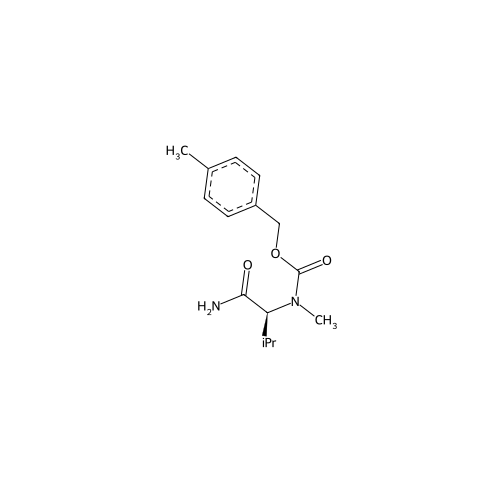 Cc1ccc(COC(=O)N(C)[C@H](C(N)=O)C(C)C)cc1